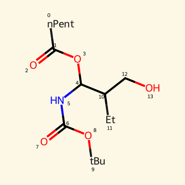 CCCCCC(=O)OC(NC(=O)OC(C)(C)C)C(CC)CO